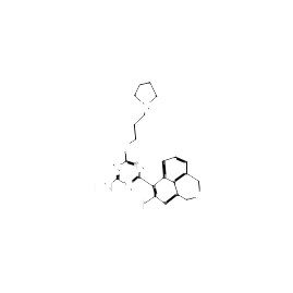 Nc1nc(SCCCN2CCCC2)nc(-c2c(Cl)cc3c4c(cccc24)COC3)n1